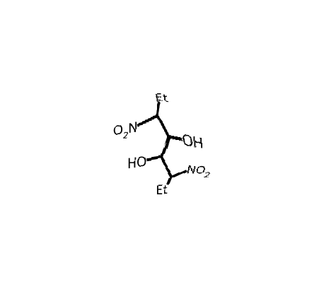 CCC(C(O)C(O)C(CC)[N+](=O)[O-])[N+](=O)[O-]